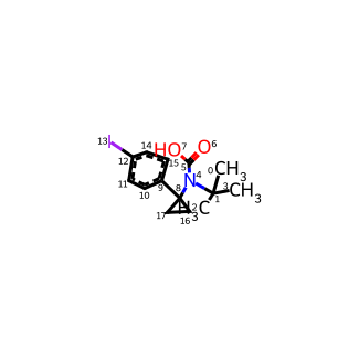 CC(C)(C)N(C(=O)O)C1(c2ccc(I)cc2)CC1